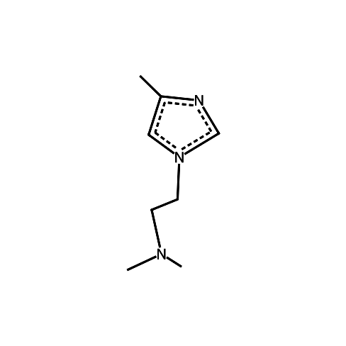 Cc1cn(CCN(C)C)cn1